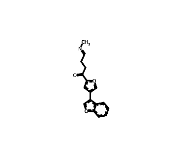 CN=CCCC(=O)c1cc(-c2coc3ccccc23)co1